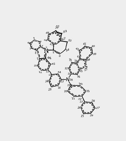 C1=C(n2c3ccccc3c3ccc(-c4cccc(N(c5ccc(-c6ccccc6)cc5)c5ccc6c(c5)sc5ccccc56)c4)cc32)c2ccccc2CC1